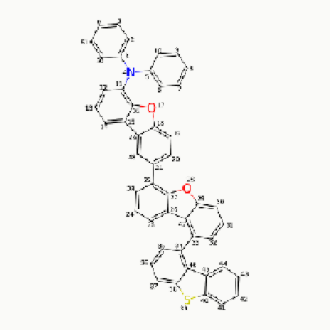 c1ccc(N(c2ccccc2)c2cccc3c2oc2ccc(-c4cccc5c4oc4cccc(-c6cccc7sc8ccccc8c67)c45)cc23)cc1